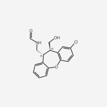 O=CNC[C@H]1c2ccccc2Oc2ccc(Cl)cc2[C@@H]1CO